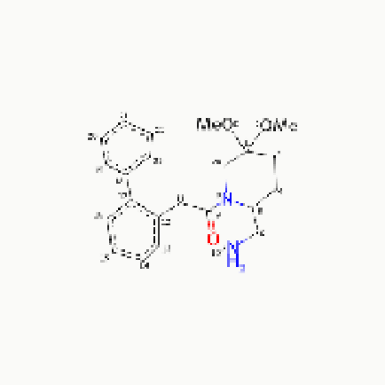 COC1(OC)CCC(CN)N(C(=O)Cc2ccccc2-c2ccccc2)C1